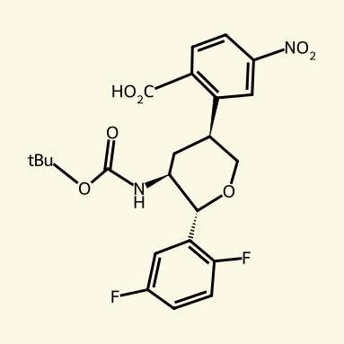 CC(C)(C)OC(=O)N[C@H]1C[C@@H](c2cc([N+](=O)[O-])ccc2C(=O)O)CO[C@@H]1c1cc(F)ccc1F